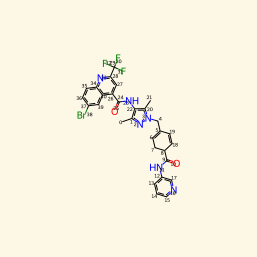 Cc1nn(CC2=CCC(C(=O)Nc3cccnc3)C=C2)c(C)c1NC(=O)c1cc(C(F)(F)F)nc2ccc(Br)cc12